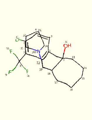 OC1(c2ccc(Cl)c(C(F)(F)F)c2)CCCCCC1CN1CCCC1